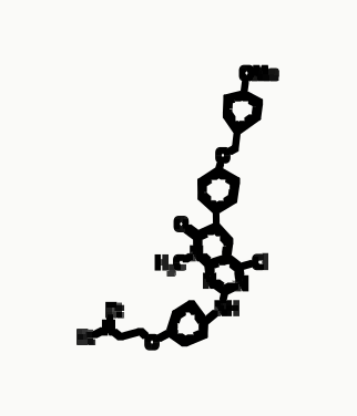 CCN(CC)CCOc1ccc(Nc2nc(Cl)c3cc(-c4ccc(OCc5ccc(OC)cc5)cc4)c(=O)n(C)c3n2)cc1